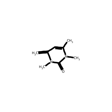 C=C1C=C(C)N(C)C(=O)N1C